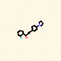 OC(C#Cc1ccc(N2CCCC2)cc1)c1ccccc1F